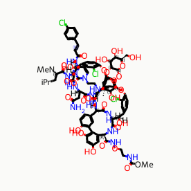 CN[C@H](CC(C)C)C(=O)N[C@H]1C(=O)N[C@@H](CC(N)=O)C(=O)N[C@H]2C(=O)N[C@H]3C(=O)N[C@H](C(=O)N[C@@H](C(=O)NOCCNC(=O)OC)c4cc(O)cc(O)c4-c4cc3ccc4O)[C@H](O)c3ccc(c(Cl)c3)Oc3cc2cc(c3O[C@@H]2O[C@H](CO)[C@@H](O)[C@H](O)[C@H]2O[C@H]2C[C@](C)(NCCn3ccc(NC(=O)/C=C/c4ccc(Cl)cc4)nc3=O)[C@H](O)[C@H](C)O2)Oc2ccc(cc2Cl)[C@H]1O